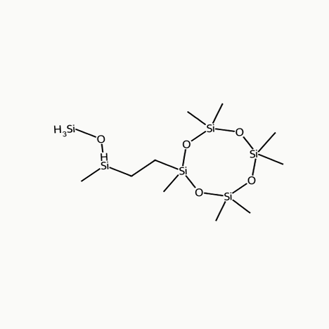 C[SiH](CC[Si]1(C)O[Si](C)(C)O[Si](C)(C)O[Si](C)(C)O1)O[SiH3]